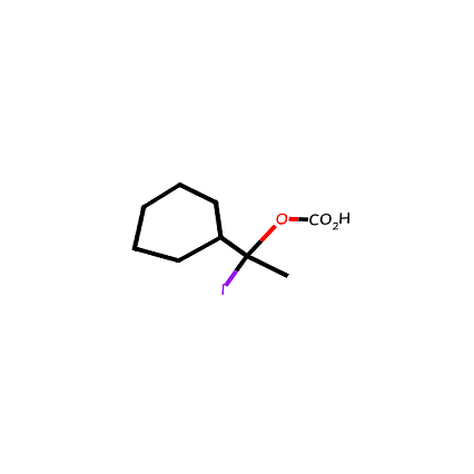 CC(I)(OC(=O)O)C1CCCCC1